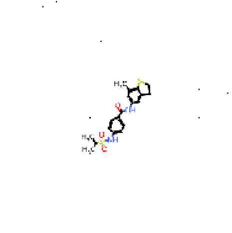 Cc1cc(NC(=O)c2ccc(NS(=O)(=O)C(C)C)cc2)cc2c1SCC2